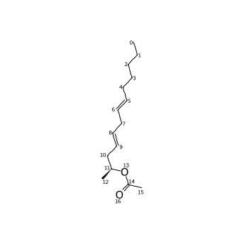 CCCCCC=CCC=CC[C@H](C)OC(C)=O